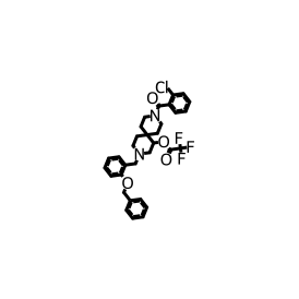 O=C(c1ccccc1Cl)N1CCC2(CCN(Cc3ccccc3OCc3ccccc3)CC2OC(=O)C(F)(F)F)CC1